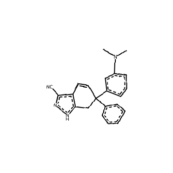 CN(C)c1cccc(C2(c3ccccc3)C=Cc3c(C#N)n[nH]c3C2)c1